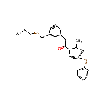 CC(=O)CCSCc1cccc(CC(=O)C2C=CC(Sc3ccccc3)=CC2C)c1